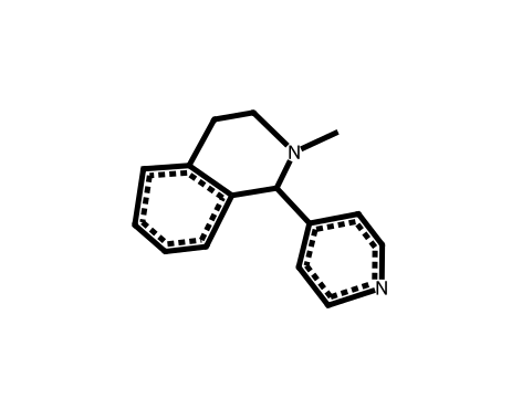 CN1CCc2ccccc2C1c1ccncc1